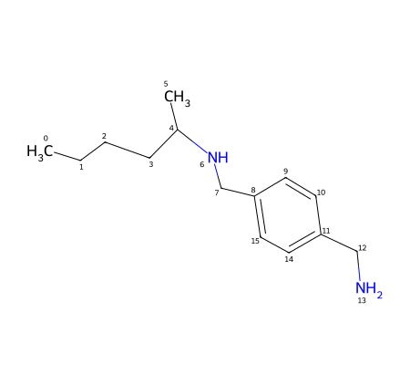 CCCCC(C)NCc1ccc(CN)cc1